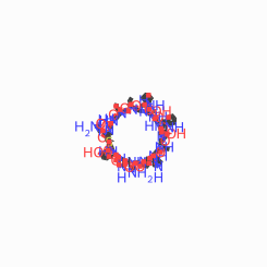 CCCC[C@H]1C(=O)N(C)[C@@H](CCCC)C(=O)N[C@@H](C)C(=O)N[C@H](C(=O)NCC(N)=O)CSCC(=O)N[C@@H](Cc2ccc(O)cc2)C(=O)N2CCNC[C@H]2C(=O)N[C@@H](CC(N)=O)C(=O)N2CCC[C@H]2C(=O)N[C@@H](Cc2c[nH]cn2)C(=O)N[C@@H](CC(C)C)C(=O)N2C[C@H](O)C[C@H]2C(=O)N[C@@H](Cc2c[nH]c3ccccc23)C(=O)N[C@@H](CO)C(=O)N[C@@H](Cc2c[nH]c3ccccc23)C(=O)N1C